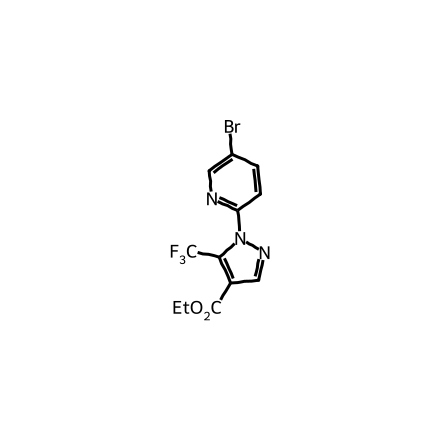 CCOC(=O)c1cnn(-c2ccc(Br)cn2)c1C(F)(F)F